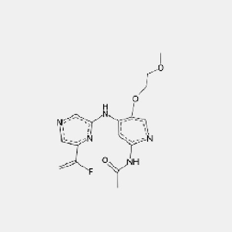 C=C(F)c1cncc(Nc2cc(NC(C)=O)ncc2OCCOC)n1